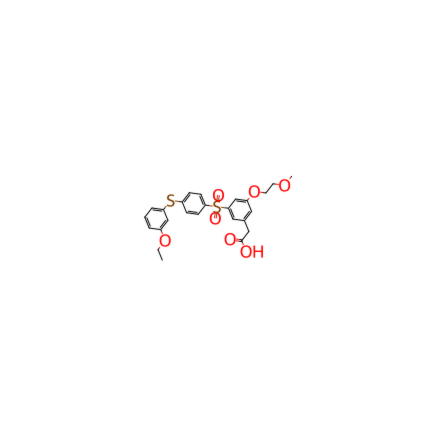 CCOc1cccc(Sc2ccc(S(=O)(=O)c3cc(CC(=O)O)cc(OCCOC)c3)cc2)c1